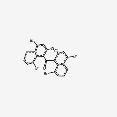 O=C(c1c(Cl)cc(Br)c2cccc(Br)c12)c1c(Cl)cc(Br)c2cccc(Br)c12